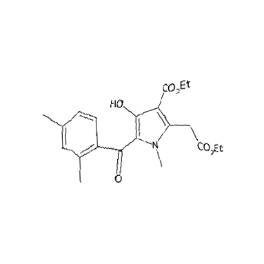 CCOC(=O)Cc1c(C(=O)OCC)c(O)c(C(=O)c2ccc(C)cc2C)n1C